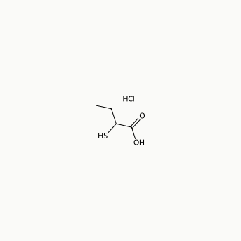 CCC(S)C(=O)O.Cl